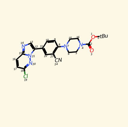 CC(C)(C)OC(=O)N1CCN(c2ccc(-c3cnc4ccc(Cl)nn34)cc2C#N)CC1